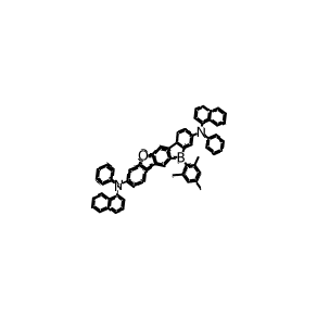 Cc1cc(C)c(B2c3cc(N(c4ccccc4)c4cccc5ccccc45)ccc3-c3cc4oc5cc(N(c6ccccc6)c6cccc7ccccc67)ccc5c4cc32)c(C)c1